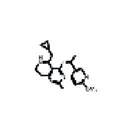 COc1ccc(C(C)Oc2nc(C)nc3c2C(CC2CC2)NCC3)cn1